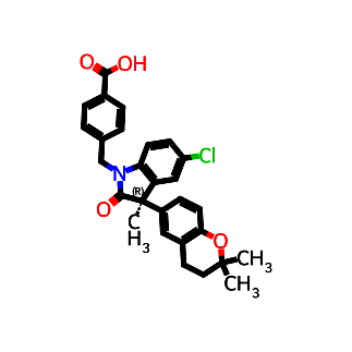 CC1(C)CCc2cc([C@@]3(C)C(=O)N(Cc4ccc(C(=O)O)cc4)c4ccc(Cl)cc43)ccc2O1